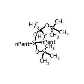 CCCCC[Si](CCCCC)(O[Si](C)(C)C)O[Si](C)(C)O[Si](C)(C)C